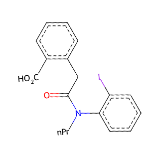 CCCN(C(=O)Cc1ccccc1C(=O)O)c1ccccc1I